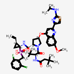 C=C[C@@H]1C[C@]1(NC(=O)[C@@H]1C[C@@H](Oc2cc(-c3csc(NC(C)C)n3)nc3cc(OC)ccc23)CN1C(=O)[C@@H](NC(=O)CC(C)(C)C)C(C)(C)C)P(=O)(O)Cc1c(F)cccc1F